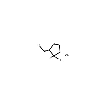 C[C@]1(O)[C@@H](O)[CH]O[C@@H]1CO